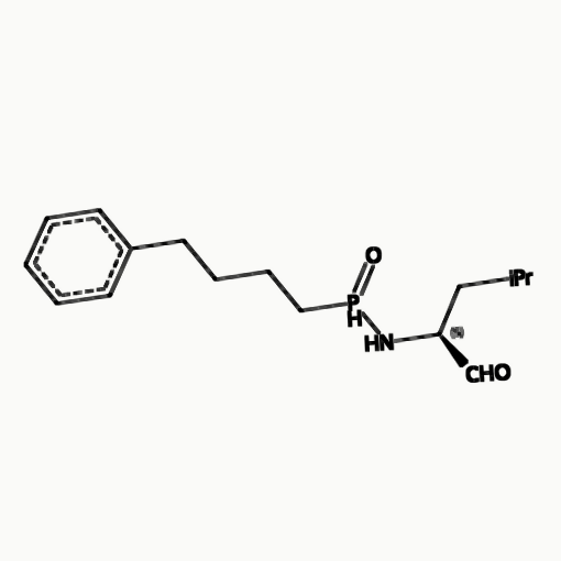 CC(C)C[C@@H](C=O)N[PH](=O)CCCCc1ccccc1